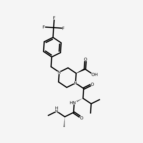 CN[C@@H](C)C(=O)N[C@H](C(=O)N1CCN(Cc2ccc(C(F)(F)F)cc2)C[C@H]1C(=O)O)C(C)C